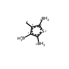 Bc1sc(B)c(C)c1B